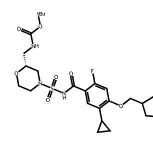 CC(C)(C)OC(=O)NC[C@@H]1CN(S(=O)(=O)NC(=O)c2cc(C3CC3)c(OCC3CCCC3)cc2F)CCO1